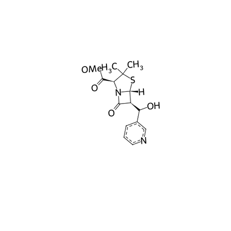 COC(=O)[C@@H]1N2C(=O)[C@H](C(O)c3cccnc3)[C@H]2SC1(C)C